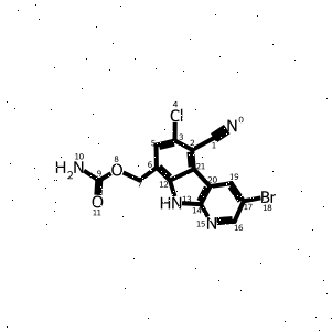 N#Cc1c(Cl)cc(COC(N)=O)c2[nH]c3ncc(Br)cc3c12